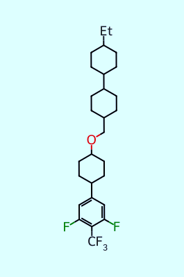 CCC1CCC(C2CCC(COC3CCC(c4cc(F)c(C(F)(F)F)c(F)c4)CC3)CC2)CC1